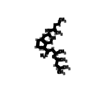 C=C(CCC)N[C@@H]1BCc2c(cccc2C(=C)CC(C)OC(=C)CC(C)C)C1